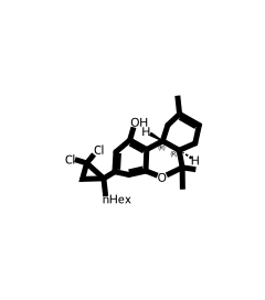 CCCCCCC1(c2cc(O)c3c(c2)OC(C)(C)[C@@H]2CC=C(C)C[C@@H]32)CC1(Cl)Cl